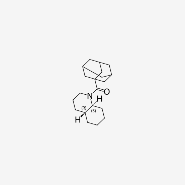 O=C(N1CCC[C@H]2CCCC[C@@H]21)C12CC3CC(CC(C3)C1)C2